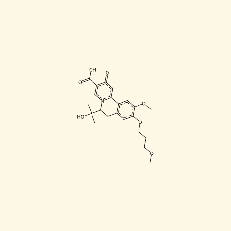 COCCCOc1cc2c(cc1OC)-c1cc(=O)c(C(=O)O)cn1C(C(C)(C)O)C2